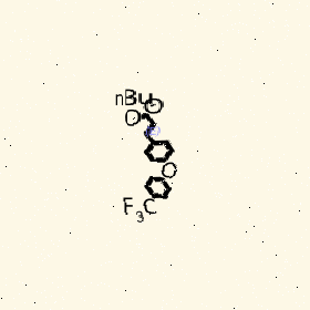 CCCCOC(=O)/C=C/c1ccc(Oc2ccc(C(F)(F)F)cc2)cc1